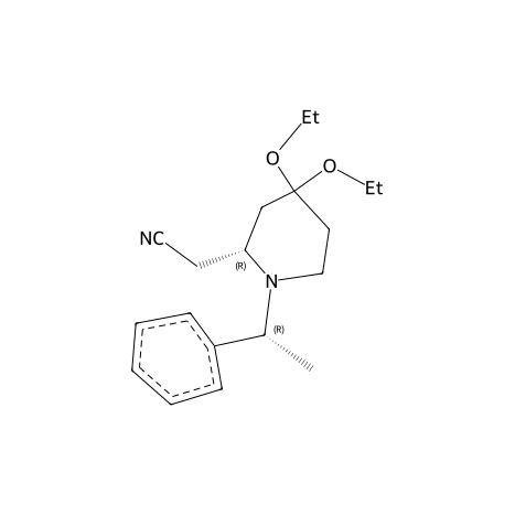 CCOC1(OCC)CCN([C@H](C)c2ccccc2)[C@H](CC#N)C1